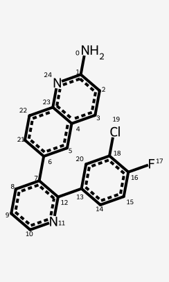 Nc1ccc2cc(-c3cccnc3-c3ccc(F)c(Cl)c3)ccc2n1